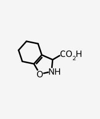 O=C(O)C1NOC2=C1CCCC2